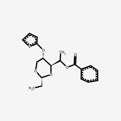 CC[C@@H]1OC[C@H](Oc2cccs2)[C@@H](C(C)OC(=O)c2ccccc2)O1